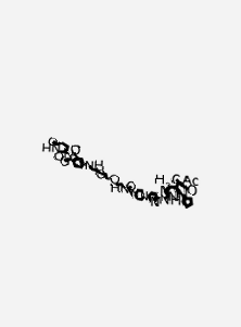 CC(=O)c1c(C)c2cnc(Nc3ccc(N4CCN(CC(=O)NCCOCCOCCNc5ccc6c(c5)C(=O)N(C5CCC(=O)NC5=O)C6=O)CC4)cn3)nc2n(C2CCCC2)c1=O